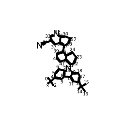 CC(C)(C)c1ccc2c(c1)c1cc(C(C)(C)C)ccc1n2-c1cccc2c(-c3cccc4ncc(C#N)cc34)cccc12